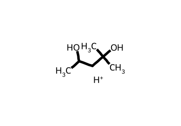 CC(O)CC(C)(C)O.[H+]